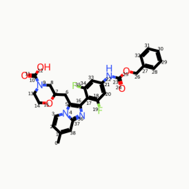 Cc1ccn2c(CC3CN(C(=O)O)CCO3)c(-c3c(F)cc(NC(=O)OCc4ccccc4)cc3F)nc2c1